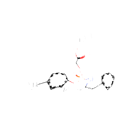 CCCCCCCCOC(=O)COP(=O)(N[C@@H](Cc1ccccc1)C(=O)O)Oc1ccc([N+](=O)[O-])cc1